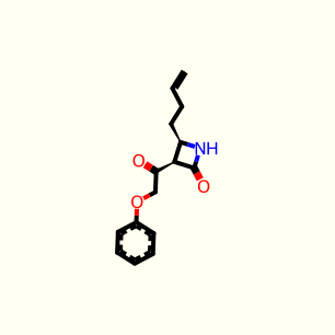 C=CCC[C@H]1NC(=O)[C@H]1C(=O)COc1ccccc1